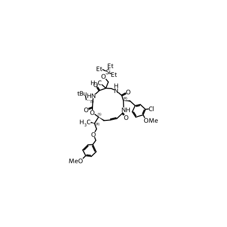 CC[Si](CC)(CC)OCC1(C)CNC(=O)[C@@H](Cc2ccc(OC)c(Cl)c2)NC(=O)C=CC[C@@H]([C@H](C)COCc2ccc(OC)cc2)OC(=O)[C@H](CC(C)(C)C)NC1=O